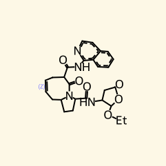 CCOC1OC(=O)CC1NC(=O)C1CCC2C/C=C\CC(C(=O)Nc3nccc4ccccc34)C(=O)N21